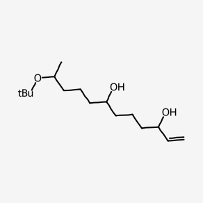 C=CC(O)CCCC(O)CCCC(C)OC(C)(C)C